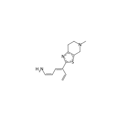 C=C/C(=C\C=C/N)c1nc2c(s1)CN(C)CC2